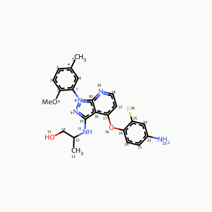 COc1ccc(C)cc1-n1nc(NC(C)CO)c2c(Oc3ccc(N)cc3F)ccnc21